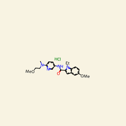 CCn1c(C(=O)Nc2ccc(N(C)CCOC)nc2)cc2cc(OC)ccc21.Cl